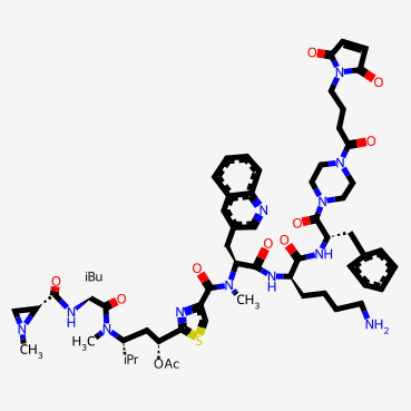 CC[C@H](C)[C@H](NC(=O)[C@H]1CN1C)C(=O)N(C)[C@H](C[C@@H](OC(C)=O)c1nc(C(=O)N(C)[C@@H](Cc2cnc3ccccc3c2)C(=O)N[C@H](CCCCN)C(=O)N[C@@H](Cc2ccccc2)C(=O)N2CCN(C(=O)CCCN3C(=O)C=CC3=O)CC2)cs1)C(C)C